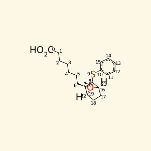 O=C(O)CCCCCC[C@H]1[C@@H](Sc2ccccc2)[C@H]2CC[C@@H]1O2